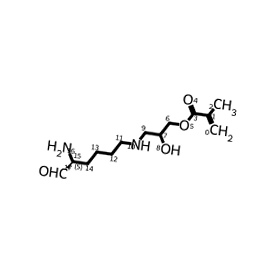 C=C(C)C(=O)OCC(O)CNCCCC[C@H](N)C=O